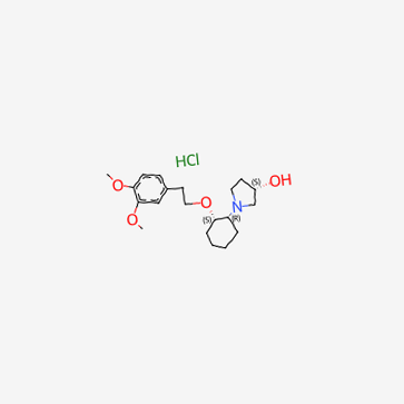 COc1ccc(CCO[C@H]2CCCC[C@H]2N2CC[C@H](O)C2)cc1OC.Cl